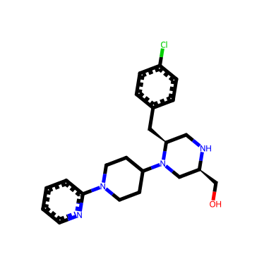 OC[C@H]1CN(C2CCN(c3ccccn3)CC2)[C@@H](Cc2ccc(Cl)cc2)CN1